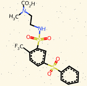 CN(CCNS(=O)(=O)c1cc(S(=O)(=O)c2ccccc2)ccc1C(F)(F)F)C(=O)O